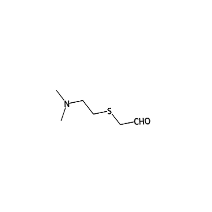 CN(C)CCSCC=O